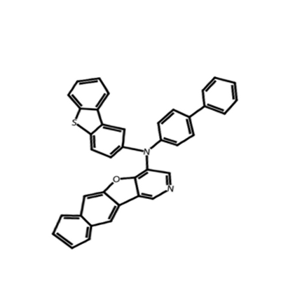 c1ccc(-c2ccc(N(c3ccc4sc5ccccc5c4c3)c3cncc4c3oc3cc5ccccc5cc34)cc2)cc1